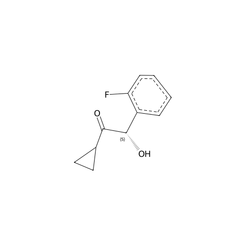 O=C(C1CC1)[C@@H](O)c1ccccc1F